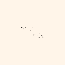 CCCC(I)CCNC1CC2(CC2)C1